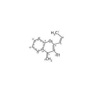 C=C1C(CC)=C(/C=C\C)Oc2ccccc21